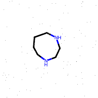 C1CCNCCNC1